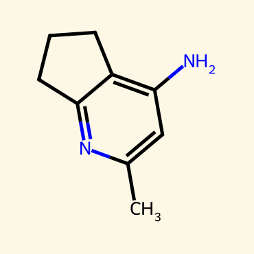 Cc1cc(N)c2c(n1)CCC2